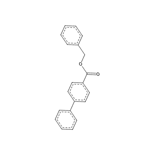 O=C(OCc1ccccc1)c1ccc(-c2ccccc2)cc1